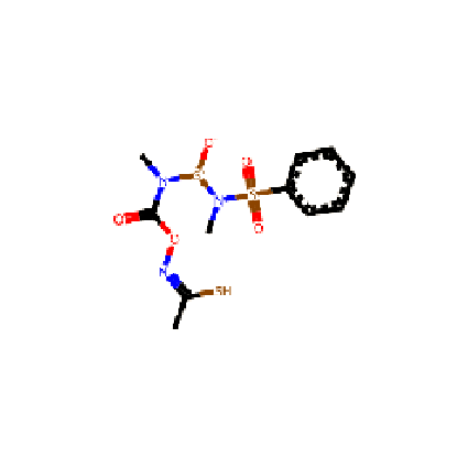 CC(S)=NOC(=O)N(C)[S+]([O-])N(C)S(=O)(=O)c1ccccc1